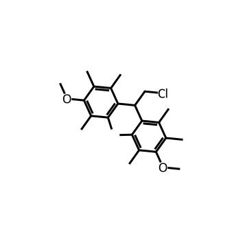 COc1c(C)c(C)c(C(CCl)c2c(C)c(C)c(OC)c(C)c2C)c(C)c1C